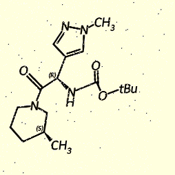 C[C@H]1CCCN(C(=O)[C@H](NC(=O)OC(C)(C)C)c2cnn(C)c2)C1